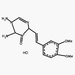 COc1ccc(C=CC2N=CN(N)C(N)[N+]2=O)cc1OC.Cl